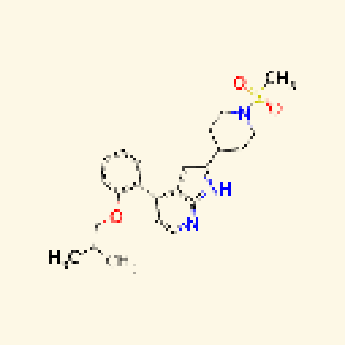 CC(C)COc1ccccc1-c1ccnc2[nH]c(C3=CCN(S(C)(=O)=O)CC3)cc12